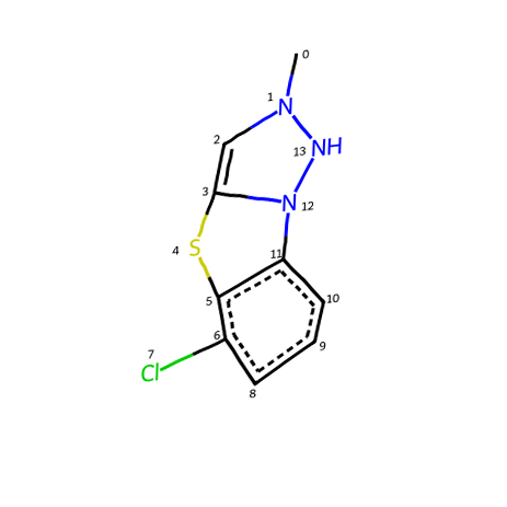 CN1C=C2Sc3c(Cl)cccc3N2N1